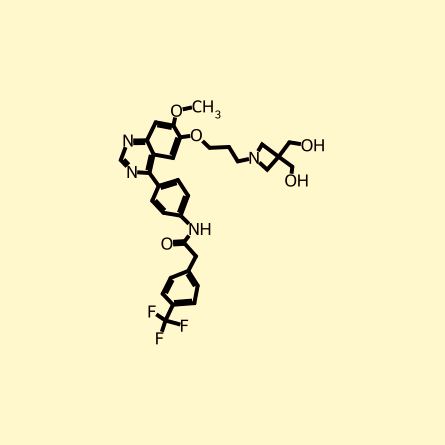 COc1cc2ncnc(-c3ccc(NC(=O)Cc4ccc(C(F)(F)F)cc4)cc3)c2cc1OCCCN1CC(CO)(CO)C1